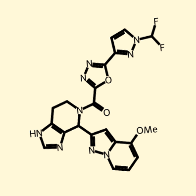 COc1cccn2nc(C3c4nc[nH]c4CCN3C(=O)c3nnc(-c4ccn(C(F)F)n4)o3)cc12